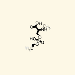 C=COP(=O)(O)OCC(NC)C(=O)O